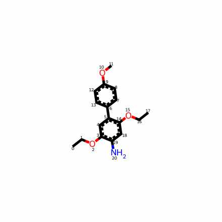 CCOc1cc(-c2ccc(OC)cc2)c(OCC)cc1N